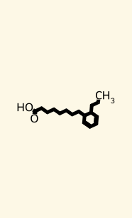 CCCC1C=CC=CC1CCCCCCCC(=O)O